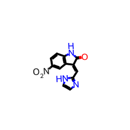 O=C1Nc2ccc([N+](=O)[O-])cc2C1=Cc1ncc[nH]1